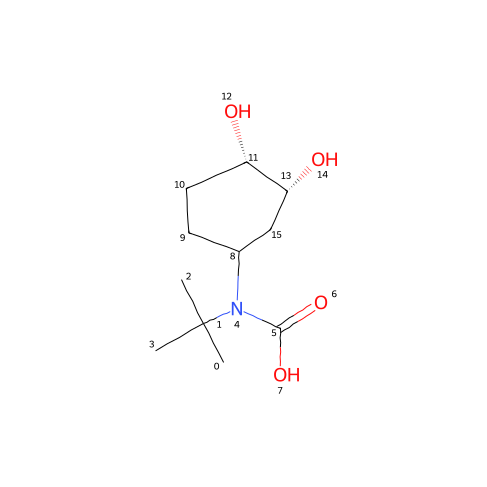 CC(C)(C)N(C(=O)O)C1CC[C@H](O)[C@H](O)C1